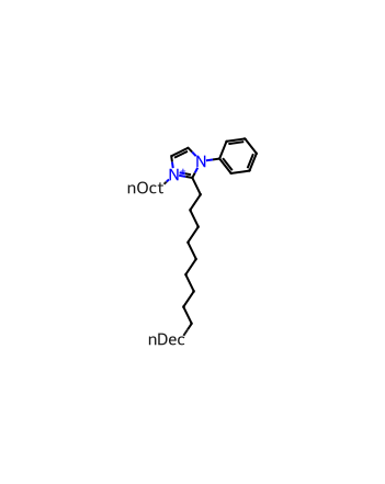 CCCCCCCCCCCCCCCCCCCc1n(-c2ccccc2)cc[n+]1CCCCCCCC